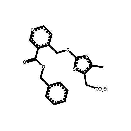 CCOC(=O)Cc1sc(SCc2ccncc2C(=O)OCc2ccccc2)nc1C